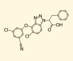 N#Cc1cc(Cl)cc(Oc2c(Cl)ccc3c2nnn3C(Cc2ccccc2)C(=O)O)c1